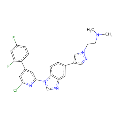 CN(C)CCn1cc(-c2ccc3c(c2)ncn3-c2cc(-c3ccc(F)cc3F)cc(Cl)n2)cn1